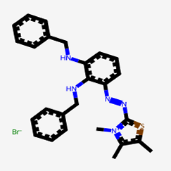 Cc1sc(N=Nc2cccc(NCc3ccccc3)c2NCc2ccccc2)[n+](C)c1C.[Br-]